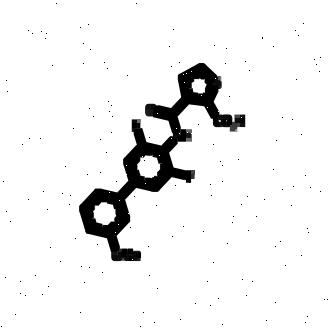 COc1cccc(-c2cc(F)c(NC(=O)c3ccsc3C(=O)O)c(F)c2)c1